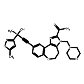 Cc1cc([C@](C)(O)C#Cc2ccc3c(c2)-c2nc(C(N)=O)n(CN4CCOCC4)c2CCO3)no1